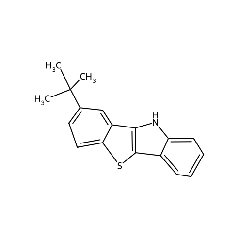 CC(C)(C)c1ccc2sc3c4ccccc4[nH]c3c2c1